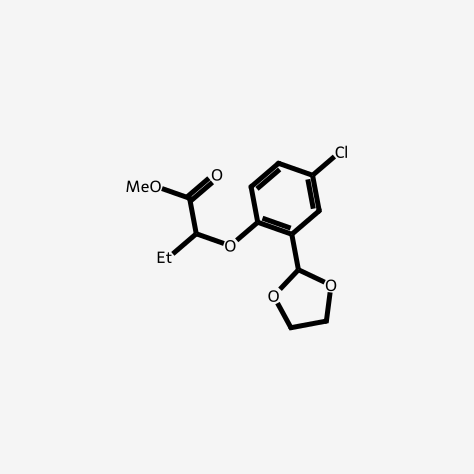 CCC(Oc1ccc(Cl)cc1C1OCCO1)C(=O)OC